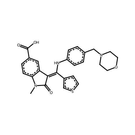 CN1C(=O)C(=C(Nc2ccc(CN3CCOCC3)cc2)c2ccsc2)c2cc(C(=O)O)ccc21